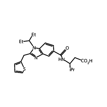 CCC(CC)n1c(Cc2cccs2)nc2cc(C(=O)NC(CC(=O)O)C(C)C)ccc21